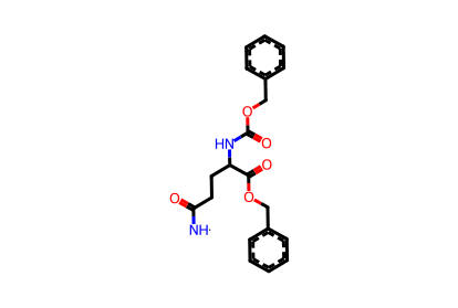 [NH]C(=O)CCC(NC(=O)OCc1ccccc1)C(=O)OCc1ccccc1